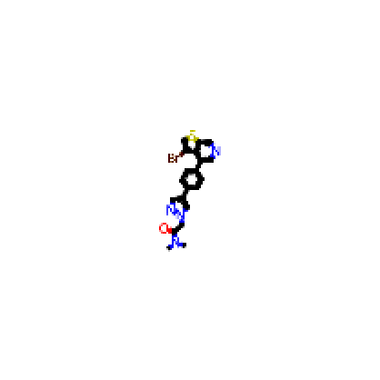 CN(C)C(=O)Cn1cc(-c2ccc(-c3cncc4scc(Br)c34)cc2)cn1